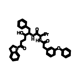 CC(C)C(NC(=O)Cc1cccc(Oc2ccccc2)c1)C(=O)NC(Cc1ccccc1)C(O)CCC(=O)N1CCc2ccccc21